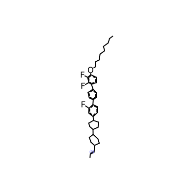 C/C=C/C1CCC(C2CCC(c3ccc(-c4ccc(-c5ccc(OCCCCCCCCC)c(F)c5F)cc4)c(F)c3)CC2)CC1